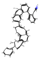 N#Cc1ccccc1-c1cccc2c1-c1cc(C3=CC=C4C=CC5=C(CC=C(c6ccccc6)C=C5)C4CC3)ccc1C2